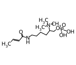 CC=CC(=O)NCCCCC(COP(=O)(O)O)[N+](C)(C)C